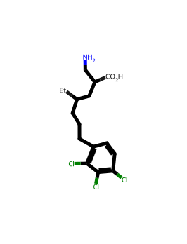 CCC(CCCc1ccc(Cl)c(Cl)c1Cl)CC(CN)C(=O)O